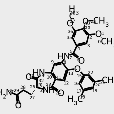 COc1cc(C(=O)Nc2cc3c(cc2Oc2cc(C)cc(C)c2)C(=O)N[C@H](CCC(N)=O)C(=O)N3)cc(OC)c1OC